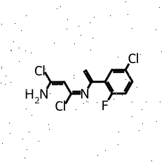 C=C(/N=C(Cl)\C=C(/N)Cl)c1cc(Cl)ccc1F